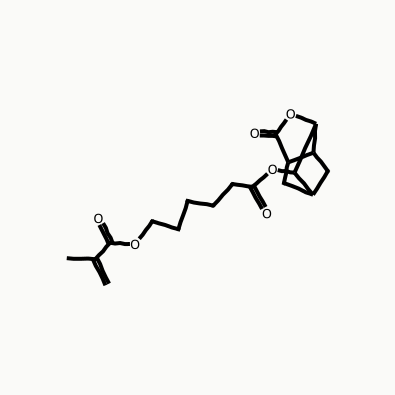 C=C(C)C(=O)OCCCCCC(=O)OC1C2CC3C(=O)OC1C3C2